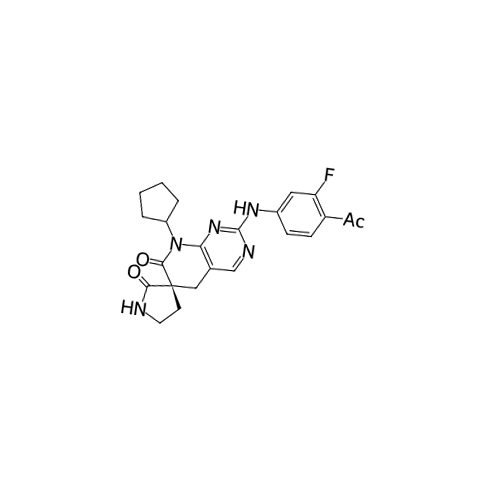 CC(=O)c1ccc(Nc2ncc3c(n2)N(C2CCCC2)C(=O)[C@]2(CCNC2=O)C3)cc1F